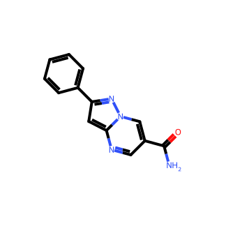 NC(=O)c1cnc2cc(-c3ccccc3)nn2c1